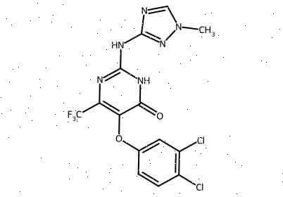 Cn1cnc(Nc2nc(C(F)(F)F)c(Oc3ccc(Cl)c(Cl)c3)c(=O)[nH]2)n1